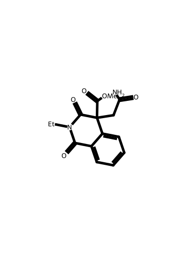 CCN1C(=O)c2ccccc2C(CC(N)=O)(C(=O)OC)C1=O